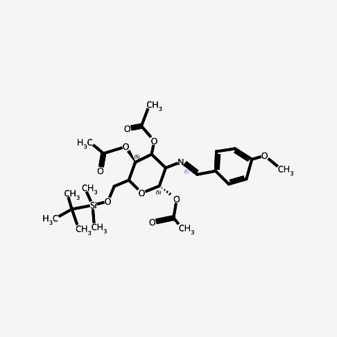 COc1ccc(/C=N/C2C(OC(C)=O)[C@H](OC(C)=O)C(CO[Si](C)(C)C(C)(C)C)O[C@H]2OC(C)=O)cc1